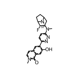 CN1C2CCC1[C@H](F)[C@H](N(C)c1ccc(-c3cc4ccn(C)c(=O)c4cc3O)nn1)C2